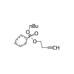 C#CCCOP(=O)(OCCCC)c1ccccc1